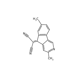 Cc1ccc2c(c1)C(=C(C#N)C#N)c1cc(C)ncc1-2